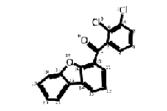 O=C(c1cccc(Cl)c1Cl)c1cccc2c1oc1ccccc12